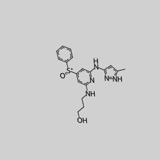 Cc1cc(Nc2cc([S+]([O-])c3ccccc3)cc(NCCCO)n2)n[nH]1